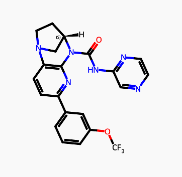 O=C(Nc1cnccn1)N1c2nc(-c3cccc(OC(F)(F)F)c3)ccc2N2CC[C@H]1C2